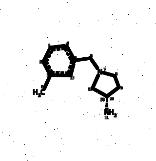 Cc1cccc(CN2CC[C@H](N)C2)c1